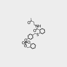 CC(=O)CCNC(=O)c1ccccc1SCc1ccc(OP2(=O)OCc3ccccc3O2)cc1